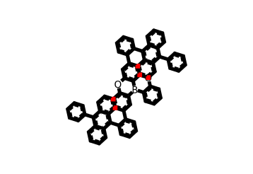 c1ccc(-c2c3ccccc3c(-c3ccccc3-c3cc4c5c(c3)Oc3ccc(-c6ccccc6-c6c7ccccc7c(-c7ccccc7)c7ccccc67)cc3B5c3ccccc3O4)c3ccccc23)cc1